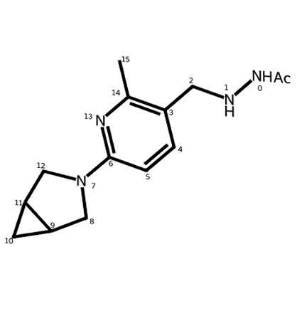 CC(=O)NNCc1ccc(N2CC3CC3C2)nc1C